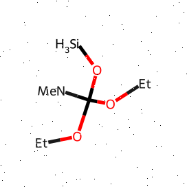 CCOC(NC)(O[SiH3])OCC